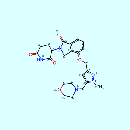 Cn1nc(COc2cccc3c2CN(C2CCC(=O)NC2=O)C3=O)cc1CN1CCOCC1